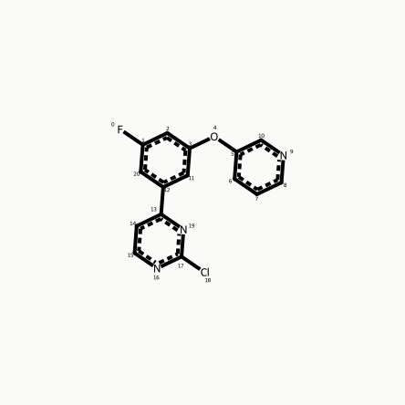 Fc1cc(Oc2cccnc2)cc(-c2ccnc(Cl)n2)c1